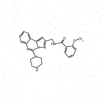 O=C(NCc1cc2c3ccccc3nc(N3CCNCC3)n2n1)c1ccccc1OC(F)(F)F